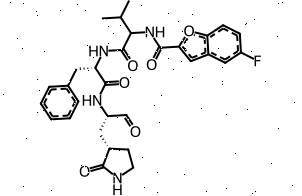 CC(C)C(NC(=O)c1cc2cc(F)ccc2o1)C(=O)N[C@@H](Cc1ccccc1)C(=O)N[C@H](C=O)C[C@@H]1CCNC1=O